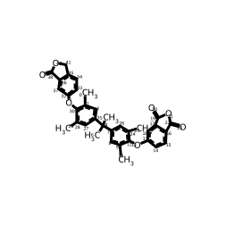 Cc1cc(C(C)(C)c2cc(C)c(Oc3ccc4c(c3)C(=O)OC4=O)c(C)c2)cc(C)c1Oc1ccc2c(c1)C(=O)OC2